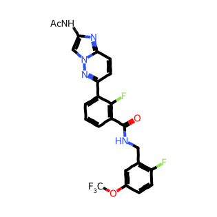 CC(=O)Nc1cn2nc(-c3cccc(C(=O)NCc4cc(OC(F)(F)F)ccc4F)c3F)ccc2n1